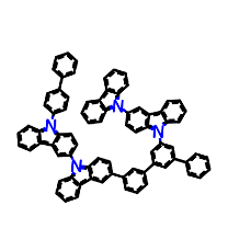 c1ccc(-c2ccc(-n3c4ccccc4c4cc(-n5c6ccccc6c6cc(-c7cccc(-c8cc(-c9ccccc9)cc(-n9c%10ccccc%10c%10cc(-n%11c%12ccccc%12c%12ccccc%12%11)ccc%109)c8)c7)ccc65)ccc43)cc2)cc1